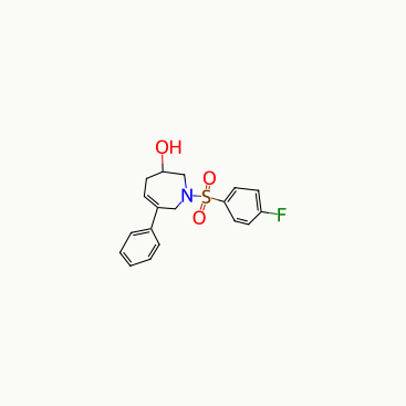 O=S(=O)(c1ccc(F)cc1)N1CC(c2ccccc2)=CCC(O)C1